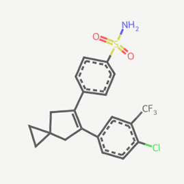 NS(=O)(=O)c1ccc(C2=C(c3ccc(Cl)c(C(F)(F)F)c3)CC3(CC3)C2)cc1